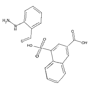 NNc1ccccc1C=O.O=C(O)c1cc(S(=O)(=O)O)c2ccccc2c1